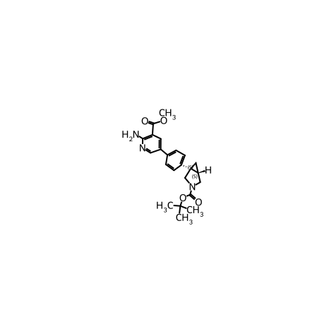 COC(=O)c1cc(-c2ccc([C@]34C[C@@H]3CN(C(=O)OC(C)(C)C)C4)cc2)cnc1N